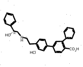 Cl.O=C(O)c1ccc(-c2ccc(CCNC[C@H](O)c3ccccc3)cc2)cc1-c1ccccc1